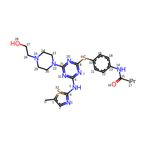 Cc1cnc(Nc2nc(Sc3ccc(NC(=O)C(C)C)cc3)nc(N3CCN(CCO)CC3)n2)s1